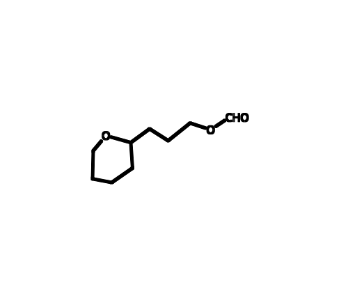 O=COCCCC1CCCCO1